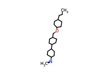 C=NC1CCC(C2CCC(COC3CCC(CCC)CC3)CC2)CC1